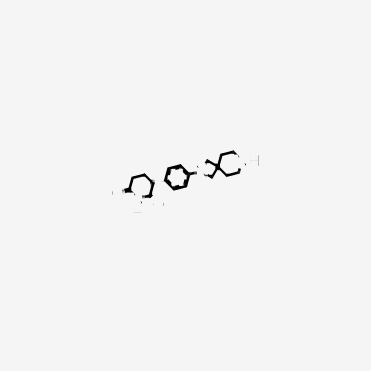 O=C1CC[C@H](c2ccc(N3CC4(CCNCC4)C3)cc2)C(=O)N1